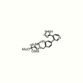 CCCc1nc(C(CCC)(OC)OC)nn1Cc1ccc(-c2cnccc2-c2nnn[nH]2)cc1